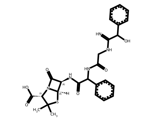 CC1(C)S[C@@H]2[C@H](NC(=O)C(NC(=O)CNC(=N)C(O)c3ccccc3)c3ccccc3)C(=O)N2[C@H]1C(=O)O